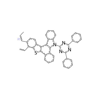 C=Cc1c(/C=C\C)ccc2c1sc1c3ccccc3c3c(c4ccccc4n3-c3nc(-c4ccccc4)nc(-c4ccccc4)n3)c21